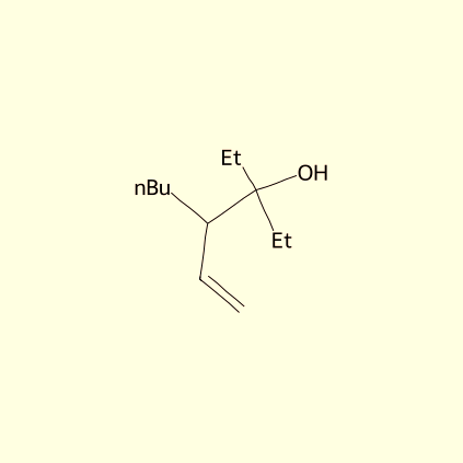 C=CC(CCCC)C(O)(CC)CC